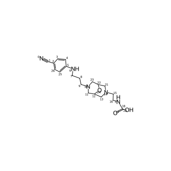 N#Cc1ccc(NCCCN2CC3CN(CCNC(=O)O)CC(C2)O3)cc1